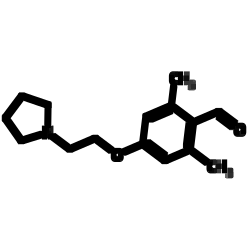 Cc1cc(OCCN2CCCC2)cc(C)c1C=O